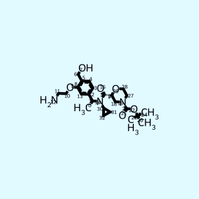 CC(c1ccc(CO)c(OCCN)c1)N(C(=O)[C@H]1CN(C(=O)OC(C)(C)C)CCO1)C1CC1